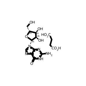 Nc1nc2c(ncn2[C@@H]2O[C@H](CO)[C@@H](O)[C@H]2O)c(=O)[nH]1.O=C(O)CCC(=O)O